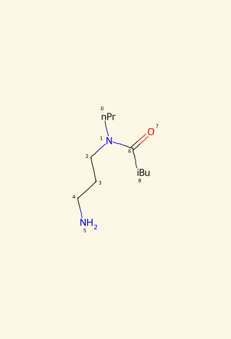 CCCN(CCCN)C(=O)C(C)CC